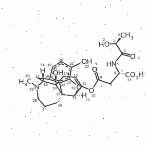 C[C@H](O)C(=O)N[C@@H](CC(=O)OC1=CC[C@@]2(O)[C@H]3Cc4ccc(O)c5c4[C@@]2(CCCN3C)[C@H]1O5)C(=O)O